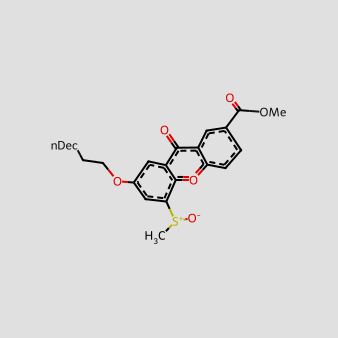 CCCCCCCCCCCCOc1cc([S+](C)[O-])c2oc3ccc(C(=O)OC)cc3c(=O)c2c1